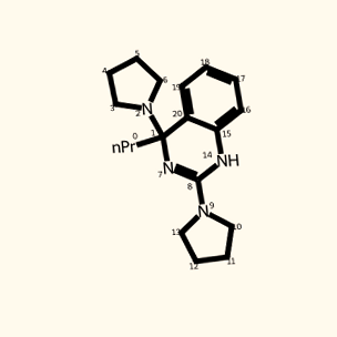 CCCC1(N2CCCC2)N=C(N2CCCC2)Nc2ccccc21